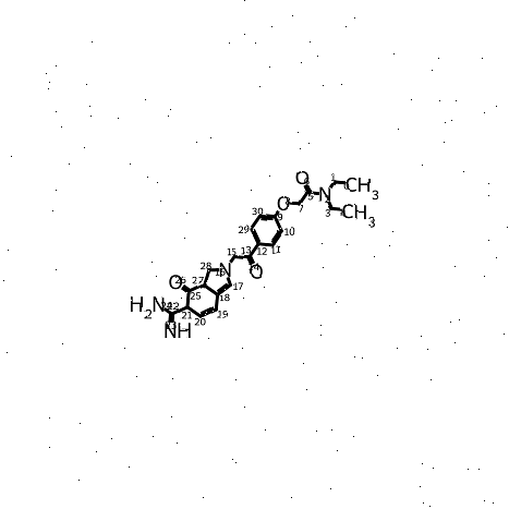 CCN(CC)C(=O)COc1ccc(C(=O)CN2C=C3C=CC(C(=N)N)C(=O)C3C2)cc1